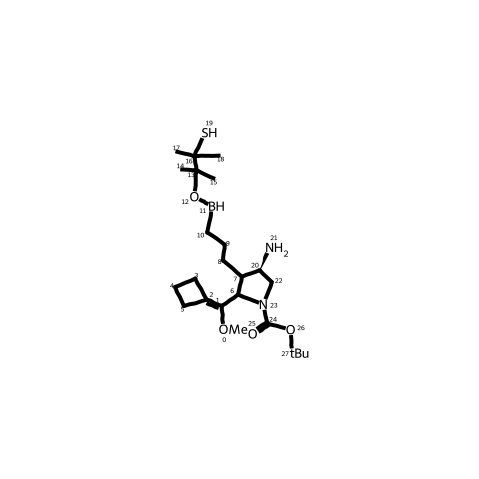 COC(=C1CCC1)C1C(CCCBOC(C)(C)C(C)(C)S)[C@@H](N)CN1C(=O)OC(C)(C)C